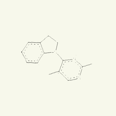 Clc1ncc(Cl)c(N2CCc3ccccc32)n1